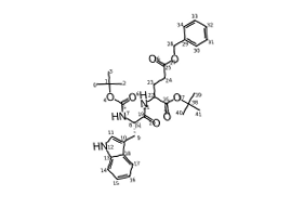 CC(C)(C)OC(=O)N[C@@H](Cc1c[nH]c2ccccc12)C(=O)NC(CCC(=O)OCc1ccccc1)C(=O)OC(C)(C)C